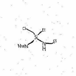 CCN[Si](Cl)(CC)NC